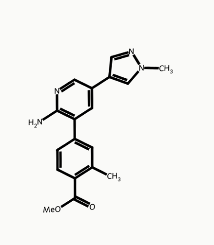 COC(=O)c1ccc(-c2cc(-c3cnn(C)c3)cnc2N)cc1C